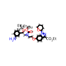 CCOC(=O)c1nn(C2CCCCO2)c2cc(OCCN(C[C@@H](O[Si](CC)(CC)CC)c3cccc(N)c3)C(=O)OC(C)(C)C)ccc12